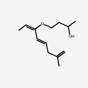 C=C(C)CC=C/C(=C\C)OCCC(C)O